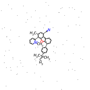 Cc1cc(C#N)c2c(oc3c(-c4ccc([Si](C)(C)C)cc4)cccc32)c1-c1cccc[n+]1C